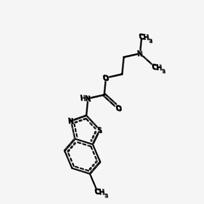 Cc1ccc2nc(NC(=O)OCCN(C)C)sc2c1